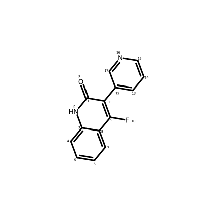 O=c1[nH]c2ccccc2c(F)c1-c1cccnc1